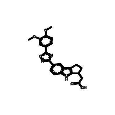 COc1ccc(-c2nc(-c3ccc4[nH]c5c(c4c3)CCC5CC(=O)O)no2)cc1OC